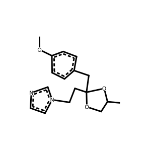 COc1ccc(CC2(CCn3ccnc3)OCC(C)O2)cc1